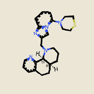 c1cnc2c(c1)CC[C@@H]1CCCN(Cc3cn4c(N5CCSCC5)cccc4n3)[C@H]21